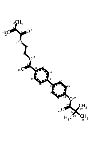 C=C(C)C(=O)OCCOC(=O)c1ccc(-c2ccc(OC(=O)C(C)(C)C)cc2)cc1